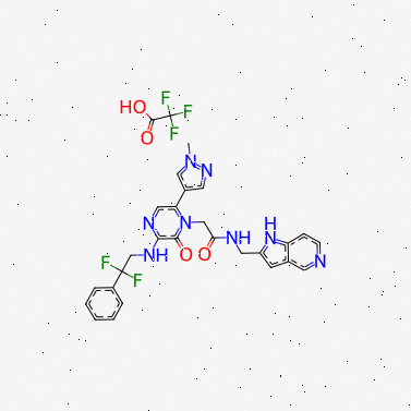 Cn1cc(-c2cnc(NCC(F)(F)c3ccccc3)c(=O)n2CC(=O)NCc2cc3cnccc3[nH]2)cn1.O=C(O)C(F)(F)F